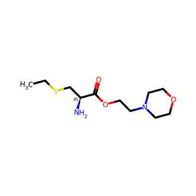 CCSC[C@H](N)C(=O)OCCN1CCOCC1